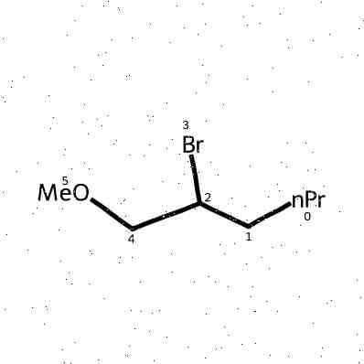 CCCCC(Br)COC